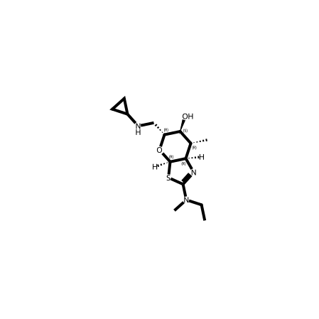 CCN(C)C1=N[C@@H]2[C@@H](C)[C@H](O)[C@@H](CNC3CC3)O[C@@H]2S1